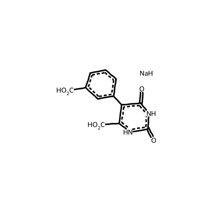 O=C(O)c1cccc(-c2c(C(=O)O)[nH]c(=O)[nH]c2=O)c1.[NaH]